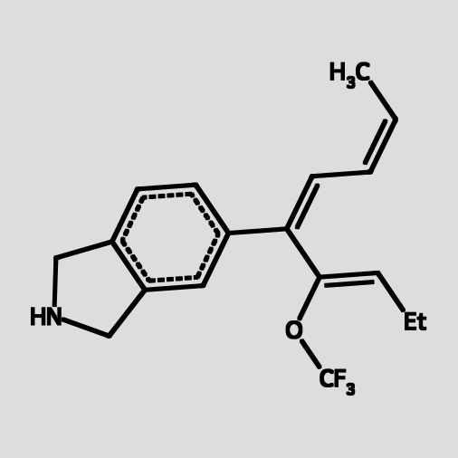 C\C=C/C=C(\C(=C\CC)OC(F)(F)F)c1ccc2c(c1)CNC2